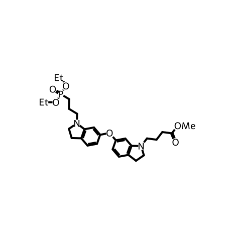 CCOP(=O)(CCCN1CCc2ccc(Oc3ccc4c(c3)N(CCCC(=O)OC)CC4)cc21)OCC